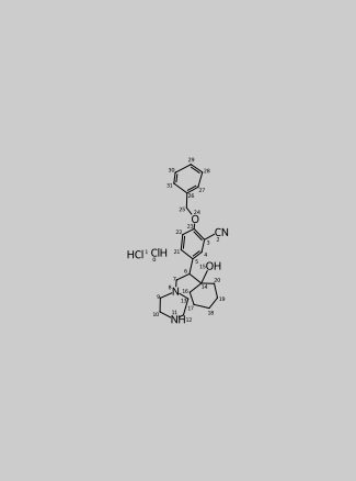 Cl.Cl.N#Cc1cc(C(CN2CCNCC2)C2(O)CCCCC2)ccc1OCc1ccccc1